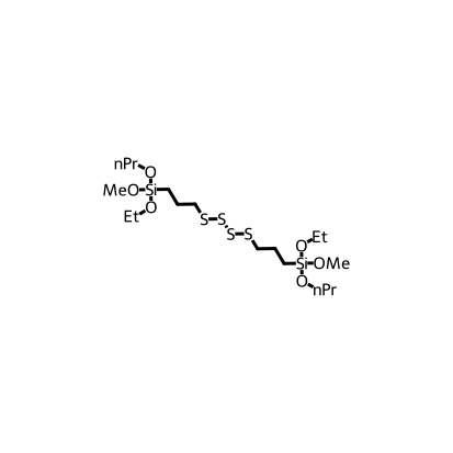 CCCO[Si](CCCSSSSCCC[Si](OC)(OCC)OCCC)(OC)OCC